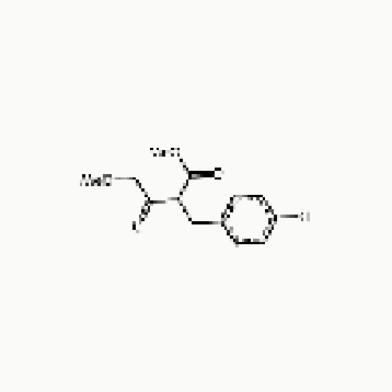 COCC(=O)C(Cc1ccc(Cl)cc1)C(=O)OC